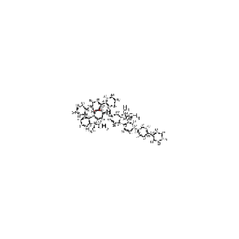 CC1(C)c2ccccc2-c2ccc(N(c3ccc4c(c3)C(C)(C)c3cc(-c5ccc(-c6ccccc6)cc5)ccc3-4)c3ccccc3-c3ccc(-c4ccccc4)cc3)cc21